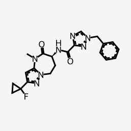 CN1C(=O)[C@@H](NC(=O)c2ncn(Cc3ccccc3)n2)CCn2nc(C3(F)CC3)cc21